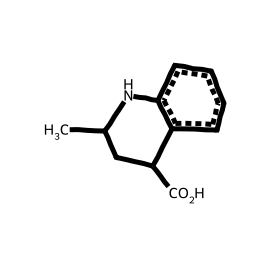 CC1CC(C(=O)O)c2ccccc2N1